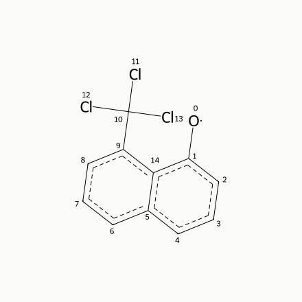 [O]c1cccc2cccc(C(Cl)(Cl)Cl)c12